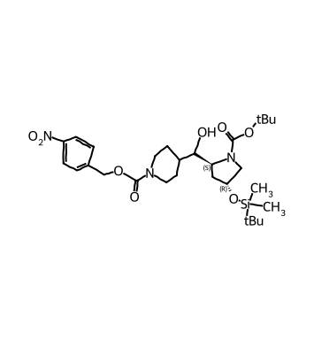 CC(C)(C)OC(=O)N1C[C@H](O[Si](C)(C)C(C)(C)C)C[C@H]1C(O)C1CCN(C(=O)OCc2ccc([N+](=O)[O-])cc2)CC1